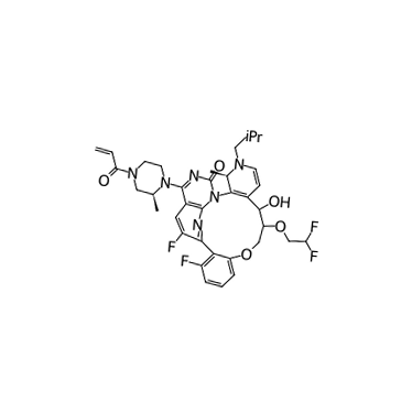 C=CC(=O)N1CCN(c2nc(=O)n3c4nc(c(F)cc24)-c2c(F)cccc2OCC(OCC(F)F)C(O)C2=C3[C@@H](C)N(CC(C)C)C=C2)[C@@H](C)C1